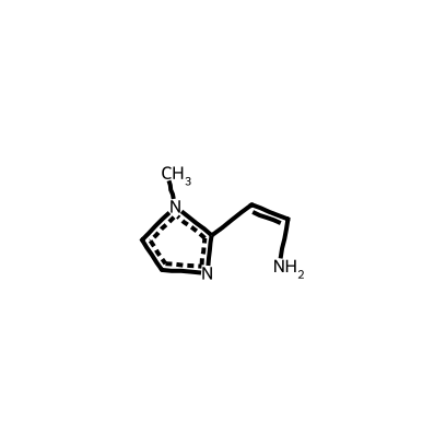 Cn1ccnc1/C=C\N